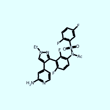 CCn1cc(-c2ccnc(N)c2)c(-c2c(F)ccc(N(C(C)=O)S(=O)(=O)c3cc(F)ccc3F)c2F)n1